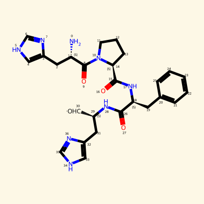 N[C@@H](Cc1c[nH]cn1)C(=O)N1CCC[C@H]1C(=O)N[C@@H](Cc1ccccc1)C(=O)N[C@H]([C]=O)Cc1c[nH]cn1